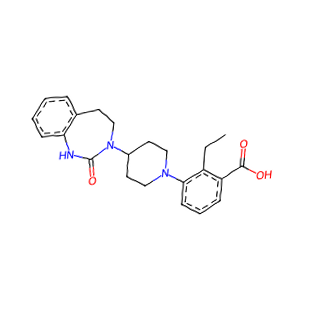 CCc1c(C(=O)O)cccc1N1CCC(N2CCc3ccccc3NC2=O)CC1